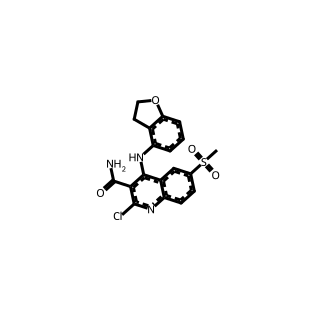 CS(=O)(=O)c1ccc2nc(Cl)c(C(N)=O)c(Nc3cccc4c3CCO4)c2c1